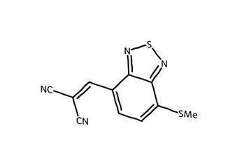 CSc1ccc(C=C(C#N)C#N)c2nsnc12